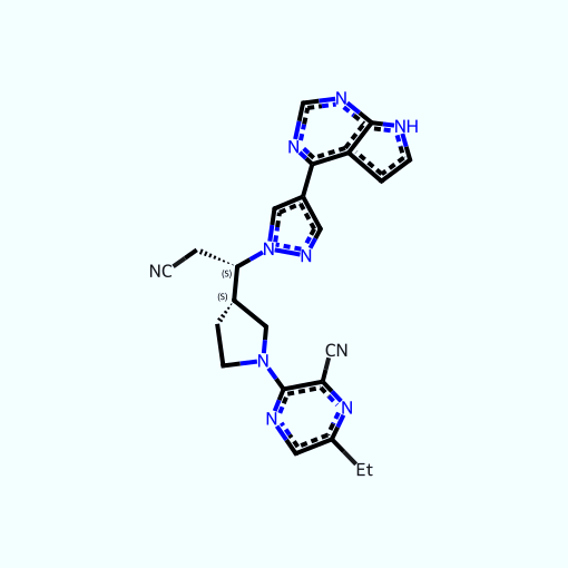 CCc1cnc(N2CC[C@H]([C@H](CC#N)n3cc(-c4ncnc5[nH]ccc45)cn3)C2)c(C#N)n1